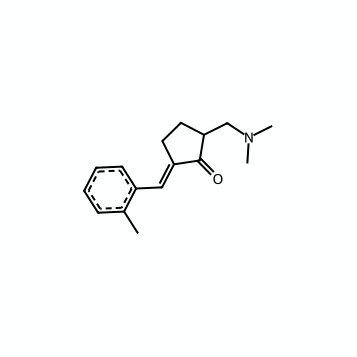 Cc1ccccc1/C=C1\CCC(CN(C)C)C1=O